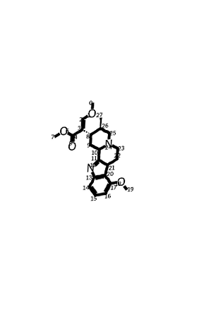 CO/C=C(/C(=O)OC)[C@H]1CC2C3=Nc4cccc(OC)c4C3CCN2C[C@@H]1C